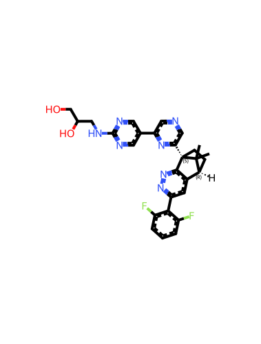 CC1(C)[C@H]2CC[C@]1(c1cncc(-c3cnc(NCC(O)CO)nc3)n1)c1nnc(-c3c(F)cccc3F)cc12